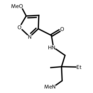 CCC(C)(CNC)CNC(=O)c1cc(OC)on1